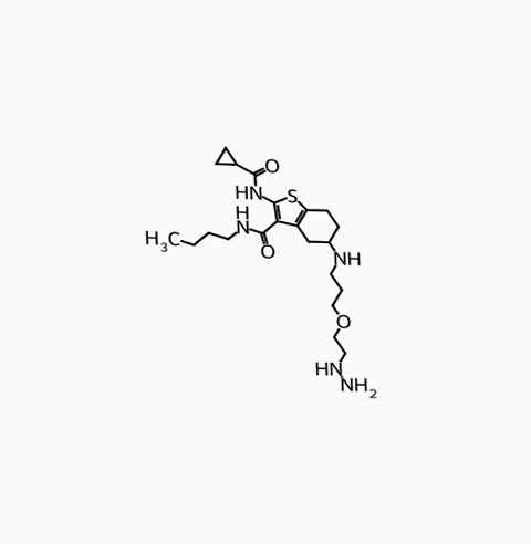 CCCCNC(=O)c1c(NC(=O)C2CC2)sc2c1CC(NCCCOCCNN)CC2